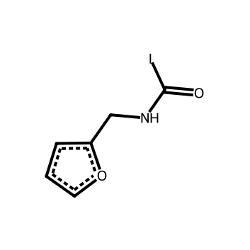 O=C(I)NCc1ccco1